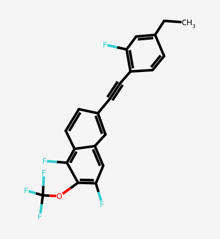 CCc1ccc(C#Cc2ccc3c(F)c(OC(F)(F)F)c(F)cc3c2)c(F)c1